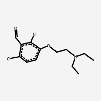 CCN(CC)CCOc1ccc(Cl)c([C]=O)c1Cl